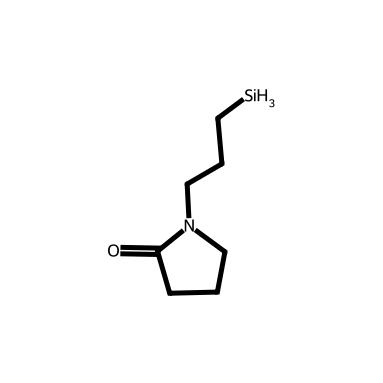 O=C1CCCN1CCC[SiH3]